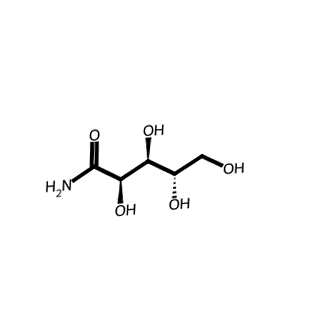 NC(=O)[C@H](O)[C@@H](O)[C@@H](O)CO